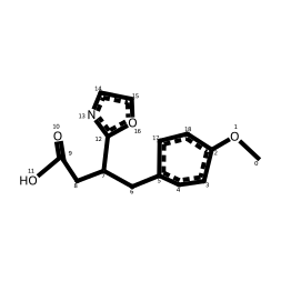 COc1ccc(CC(CC(=O)O)c2ncco2)cc1